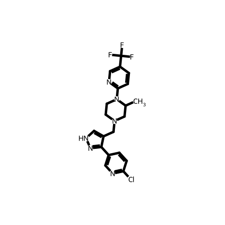 CC1CN(Cc2c[nH]nc2-c2ccc(Cl)nc2)CCN1c1ccc(C(F)(F)F)cn1